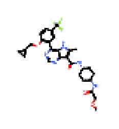 COCC(=O)N[C@H]1CC[C@H](NC(=O)c2c(C)[nH]c3c(-c4cc(C(F)(F)F)ccc4OCC4CC4)ncnc23)CC1